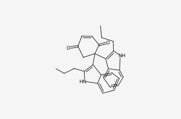 CCCc1[nH]c2ccccc2c1C1(c2c(CCC)[nH]c3ccccc23)CC(=O)C=CC1=O